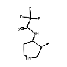 C[C@H]1CNCCC1NC(=O)C(F)(F)F